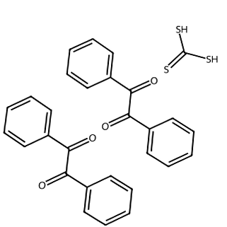 O=C(C(=O)c1ccccc1)c1ccccc1.O=C(C(=O)c1ccccc1)c1ccccc1.S=C(S)S